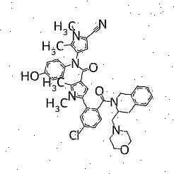 Cc1c(N(C(=O)c2cc(-c3cc(Cl)ccc3C(=O)N3Cc4ccccc4CC3CN3CCOCC3)n(C)c2C)c2ccc(O)cc2)cc(C#N)n1C